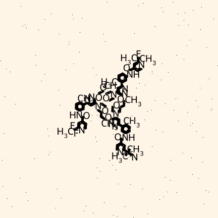 COCCOc1nnc(-c2cc(NC(=O)c3ccnc(C(C)(F)F)c3)ccc2C)cc1N1CCOC(CC(C)Oc2nnc(-c3cc(NC(=O)c4ccnc(C(C)(C)C#N)c4)ccc3C)cc2N2CCOC(CC(C)Oc3nnc(-c4cc(NC(=O)c5ccnc(C(C)(C)F)c5)ccc4C)cc3N3CCOCC3)C2)C1